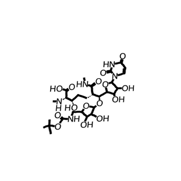 CNC(=O)[C@@H](CC[C@H](O)[C@H](NC)C(=O)O)[C@H](OC1OC(CNC(=O)OC(C)(C)C)C(O)C1O)C1OC(n2ccc(=O)[nH]c2=O)C(O)C1O